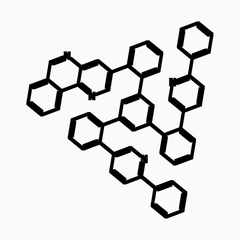 c1ccc(-c2ccc(-c3ccccc3-c3cc(-c4ccccc4-c4ccc(-c5ccccc5)nc4)cc(-c4ccccc4-c4cnc5c(c4)ncc4ccccc45)c3)cn2)cc1